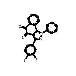 O=C1C(=O)c2c(-c3ccc(F)c(F)c3)nn(-c3ccccc3)c2-c2ccccc21